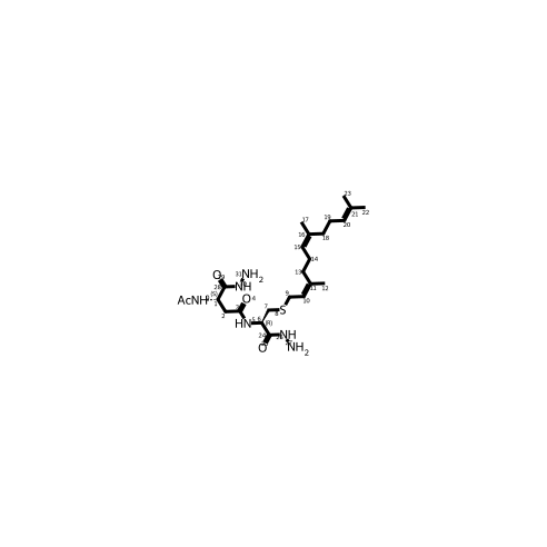 CC(=O)N[C@@H](CC(=O)N[C@@H](CSCC=C(C)CCC=C(C)CCC=C(C)C)C(=O)NN)C(=O)NN